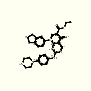 CCOC(=O)c1cn(-c2ccc3c(c2)CCC3)c2nc(Nc3ccc(N4CCOCC4)cc3)ncc2c1=O